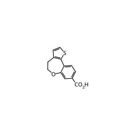 O=C(O)c1ccc2c(c1)OCCc1ccsc1-2